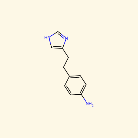 Nc1ccc(CCc2c[nH]cn2)cc1